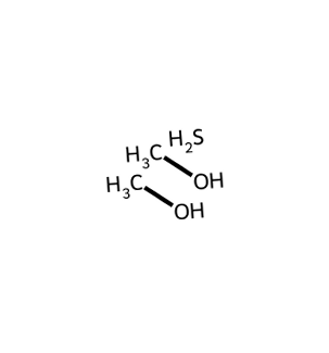 CO.CO.S